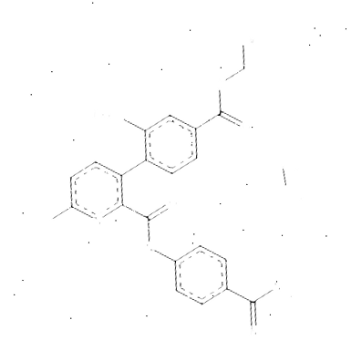 CS(=O)(=O)O.Cc1ccc(-c2ccc(C(=O)OCC(C)(C)C)cc2C(=O)O)c(C(=O)Nc2ccc(C(=N)N)cc2)n1